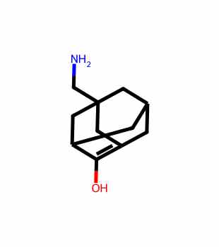 NCC12CC3=C(O)C(CC(C3)C1)C2